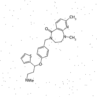 CNCCC(Oc1ccc(CN2CCN(C)c3nc(C)ccc3C2=O)cc1)c1cccs1